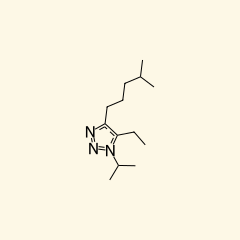 CCc1c(CCCC(C)C)nnn1C(C)C